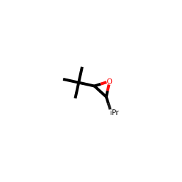 CC(C)C1OC1C(C)(C)C